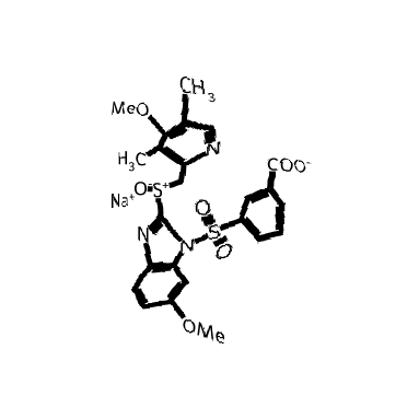 COc1ccc2nc([S+]([O-])Cc3ncc(C)c(OC)c3C)n(S(=O)(=O)c3cccc(C(=O)[O-])c3)c2c1.[Na+]